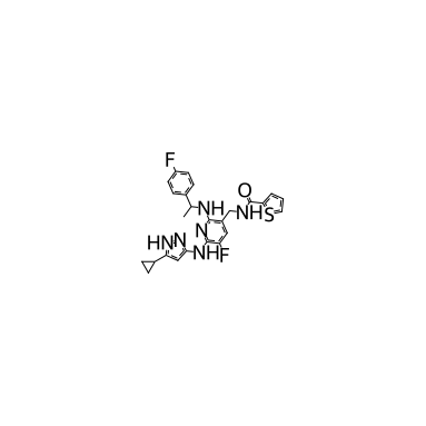 CC(Nc1nc(Nc2cc(C3CC3)[nH]n2)c(F)cc1CNC(=O)c1cccs1)c1ccc(F)cc1